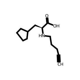 C#CCCCN[C@@H](CC1CCCC1)C(=O)O